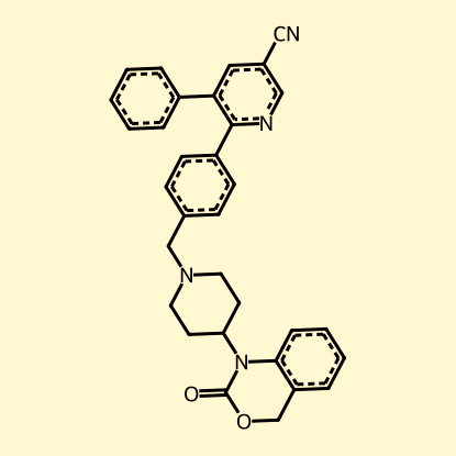 N#Cc1cnc(-c2ccc(CN3CCC(N4C(=O)OCc5ccccc54)CC3)cc2)c(-c2ccccc2)c1